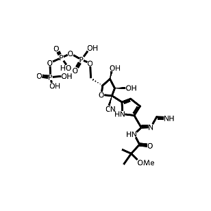 COC(C)(C)C(=O)N/C(=N/C=N)c1ccc([C@]2(C#N)O[C@H](COP(=O)(O)OP(=O)(O)OP(=O)(O)O)[C@@H](O)[C@H]2O)[nH]1